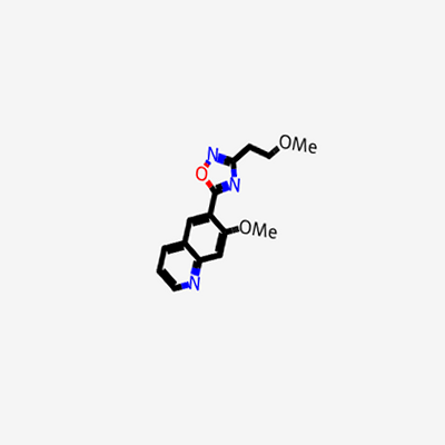 COCCc1noc(-c2cc3cccnc3cc2OC)n1